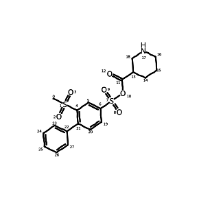 CS(=O)(=O)c1cc(S(=O)(=O)OC(=O)C2CCCNC2)ccc1-c1ccccc1